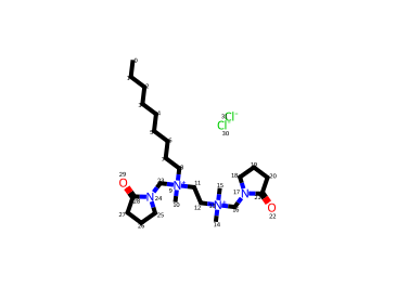 CCCCCCCCC[N+](C)(CC[N+](C)(C)CN1CCCC1=O)CN1CCCC1=O.[Cl-].[Cl-]